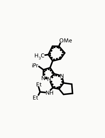 CCC(CC)Nc1c2c(nc3c(-c4ccc(OC)cc4C)c(C(C)C)nn13)CCC2